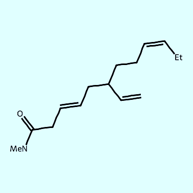 C=CC(C/C=C/CC(=O)NC)CC/C=C\CC